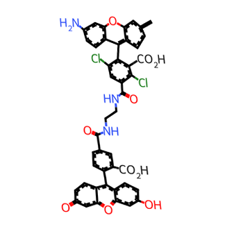 C=c1ccc2c(c1)Oc1cc(N)ccc1C=2c1c(Cl)cc(C(=O)NCCNC(=O)c2ccc(-c3c4ccc(=O)cc-4oc4cc(O)ccc34)c(C(=O)O)c2)c(Cl)c1C(=O)O